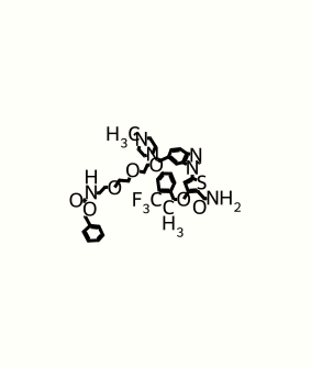 CC(Oc1cc(-n2cnc3ccc(CN4CCN(C)CC4)cc32)sc1C(N)=O)c1ccc(OCCOCCOCCNC(=O)OCc2ccccc2)cc1C(F)(F)F